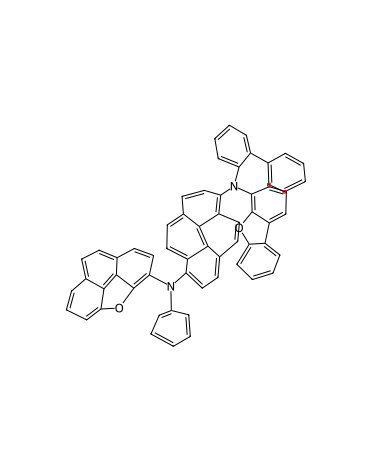 c1ccc(-c2ccccc2N(c2ccc3ccc4c(N(c5ccccc5)c5ccc6ccc7cccc8oc5c6c78)ccc5ccc2c3c54)c2cccc3c2oc2ccccc23)cc1